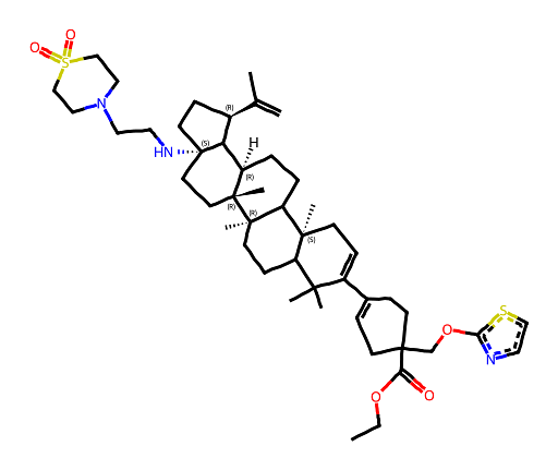 C=C(C)[C@@H]1CC[C@]2(NCCN3CCS(=O)(=O)CC3)CC[C@]3(C)[C@H](CCC4[C@@]5(C)CC=C(C6=CCC(COc7nccs7)(C(=O)OCC)CC6)C(C)(C)C5CC[C@]43C)C12